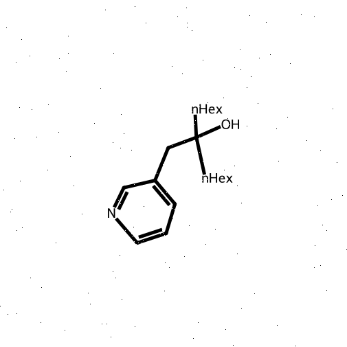 CCCCCCC(O)(CCCCCC)Cc1cccnc1